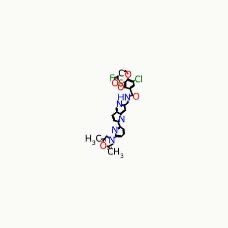 C[C@@H]1CN(c2cccc(-c3ccc4cnc(CNC(=O)c5cc(Cl)c6c(c5)S(=O)(=O)[C@@H](F)CCO6)cc4n3)n2)C[C@H](C)O1